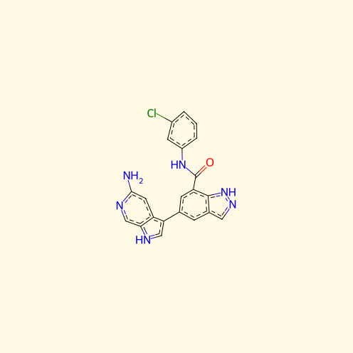 Nc1cc2c(-c3cc(C(=O)Nc4cccc(Cl)c4)c4[nH]ncc4c3)c[nH]c2cn1